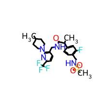 CC1CCN(c2nc(C(F)(F)F)ccc2CNC(=O)C(C)c2ccc(CNS(C)(=O)=O)c(F)c2)CC1